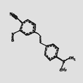 CN(C)c1ccc(/C=C/c2ccc(C#N)c(N=O)c2)cc1